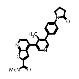 CNC(=O)c1cc2c(-c3cncc(-c4ccc(N5CCCC5=O)cc4)c3C)ccnc2o1